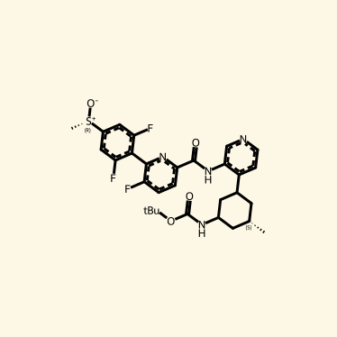 C[C@@H]1CC(NC(=O)OC(C)(C)C)CC(c2ccncc2NC(=O)c2ccc(F)c(-c3c(F)cc([S@+](C)[O-])cc3F)n2)C1